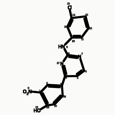 O=[N+]([O-])c1cc(-c2ccnc(Nc3cccc(Cl)c3)n2)ccc1O